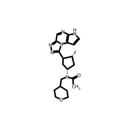 CC(=O)N(CC1CCOCC1)[C@@H]1CC(c2nnc3cnc4[nH]ccc4n23)[C@H](I)C1